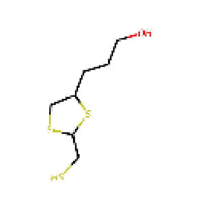 OCCCC1CSC(CS)S1